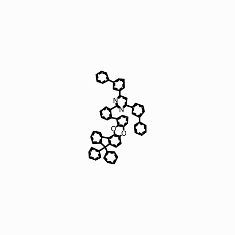 c1ccc(-c2cccc(-c3cc(-c4cccc(-c5ccccc5)c4)nc(-c4ccccc4-c4cccc5c4Oc4c(ccc6c4-c4ccccc4C6(c4ccccc4)c4ccccc4)O5)n3)c2)cc1